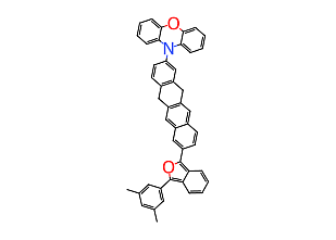 Cc1cc(C)cc(-c2oc(-c3ccc4cc5c(cc4c3)Cc3ccc(N4c6ccccc6Oc6ccccc64)cc3C5)c3ccccc23)c1